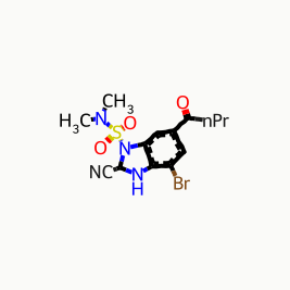 CCCC(=O)c1cc(Br)c2c(c1)N(S(=O)(=O)N(C)C)C(C#N)N2